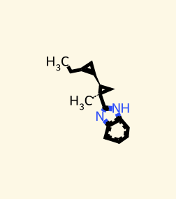 CCC1=C([C@H]2C[C@@]2(C)c2nc3ccccc3[nH]2)C1